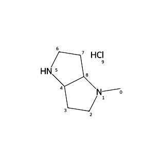 CN1CCC2NCCC21.Cl